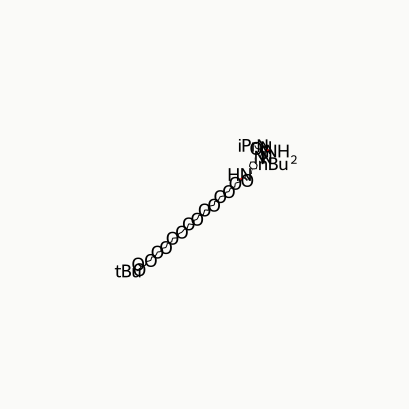 CCCCc1nc2c(N)nnc(OC(C)C)c2n1C[C@H]1CC[C@H](CNC(=O)CCOCCOCCOCCOCCOCCOCCOCCOCCOCCOCCOCCOCCC(=O)OC(C)(C)C)CC1